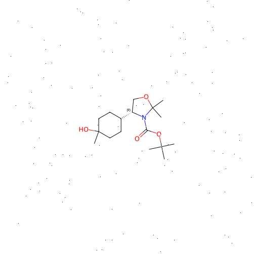 CC1(O)CCC([C@@H]2COC(C)(C)N2C(=O)OC(C)(C)C)CC1